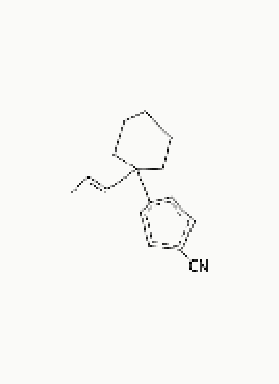 CC=CC1(c2ccc(C#N)cc2)CCCCC1